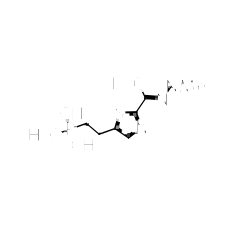 C=P(C)(C)CCc1cnc(/C(C)=N/NC)s1